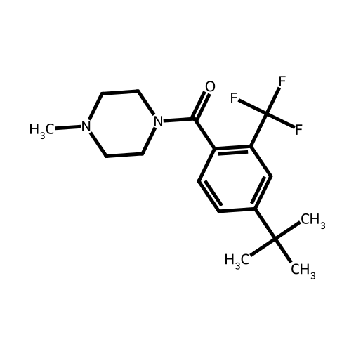 CN1CCN(C(=O)c2ccc(C(C)(C)C)cc2C(F)(F)F)CC1